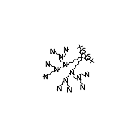 CN(C)CCCCN(CCCN(C)C)CCCN(CCCCCCC1(CCCCCCN(CCCN(CCCN(C)C)CCCN(C)C)CCCN(CCCN(C)C)CCCN(C)C)c2cc(C(C)(C)C)sc2-c2sc(C(C)(C)C)cc21)CCCN(CCCN(C)C)CCCN(C)C